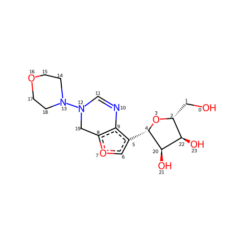 OC[C@H]1O[C@@H](c2coc3c2N=CN(N2CCOCC2)C3)[C@H](O)[C@@H]1O